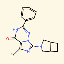 CCc1nc(N2CC3CCC3C2)n2nc(-c3ccccc3)[nH]c(=O)c12